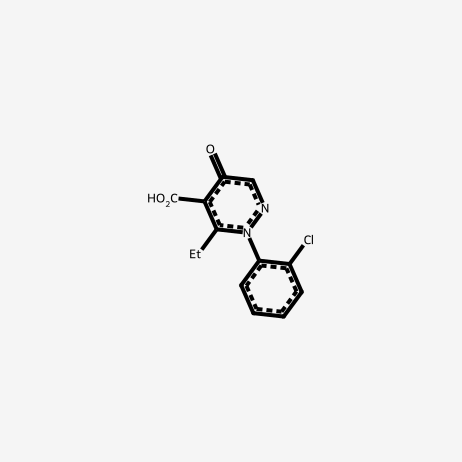 CCc1c(C(=O)O)c(=O)cnn1-c1ccccc1Cl